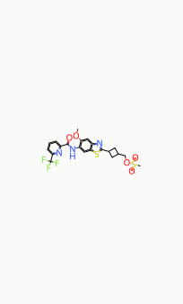 COc1cc2nc(C3CC(COS(C)(=O)=O)C3)sc2cc1NC(=O)c1cccc(C(F)(F)F)n1